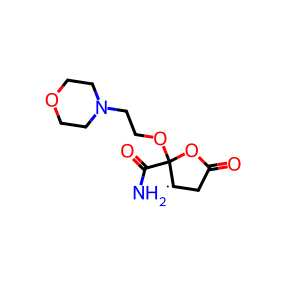 NC(=O)C1(OCCN2CCOCC2)[CH]CC(=O)O1